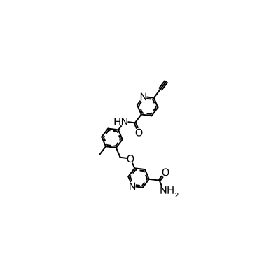 C#Cc1ccc(C(=O)Nc2ccc(C)c(COc3cncc(C(N)=O)c3)c2)cn1